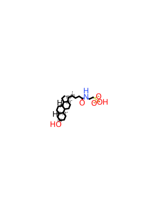 C[C@H](CCC(=O)NCCS(=O)(=O)O)[C@H]1CCC2[C@@H]3CC[C@@H]4C[C@H](O)CC[C@]4(C)C3CC[C@@]21C